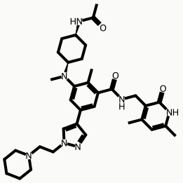 CC(=O)N[C@H]1CC[C@@H](N(C)c2cc(-c3cnn(CCN4CCCCC4)c3)cc(C(=O)NCc3c(C)cc(C)[nH]c3=O)c2C)CC1